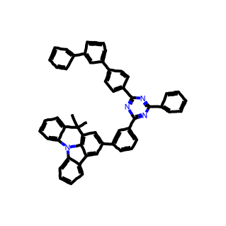 CC1(C)c2ccccc2-n2c3ccccc3c3cc(-c4cccc(-c5nc(-c6ccccc6)nc(-c6ccc(-c7cccc(-c8ccccc8)c7)cc6)n5)c4)cc1c32